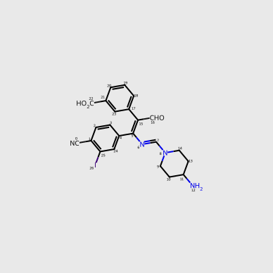 N#Cc1ccc(C(/N=C/N2CCC(N)CC2)=C(/C=O)c2cccc(C(=O)O)c2)cc1I